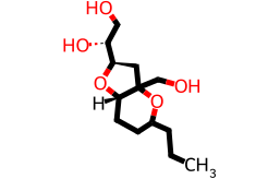 CCCC1CC[C@@H]2O[C@@H]([C@H](O)CO)CC2(CO)O1